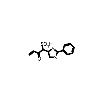 C=CC(=O)C(C1CSC(c2ccccc2)S1)S(=O)(=O)O